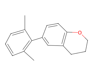 Cc1cccc(C)c1-c1ccc2c(c1)CCCO2